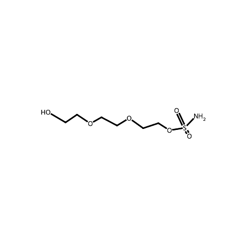 NS(=O)(=O)OCCOCCOCCO